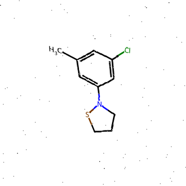 Cc1cc(Cl)cc(N2CCCS2)c1